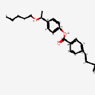 CCCCCOC(C)c1ccc(OC(=O)c2ccc(CCCC)cc2)cc1